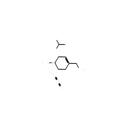 CCC(CC)O[C@@H]1C=C(CO)C[C@H](N=[N+]=[N-])[C@H]1N